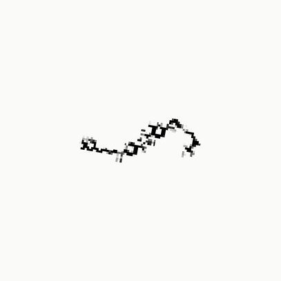 CC1(C)CC(CCCCNc2ccc(S(=O)(=O)NC(=O)c3ccc(-n4ccc(OCCC5CC5C(F)(F)F)n4)nc3Cl)cn2)CN1